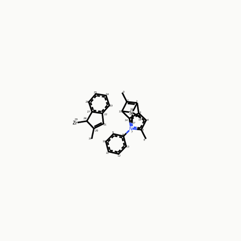 CC1=C2c3cc(C)n(-c4ccccc4)c3C1[Si]2(C)C.CC1=Cc2ccccc2[CH]1[Zr]